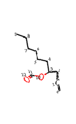 C=C=CC(CCCCCC)OC=O